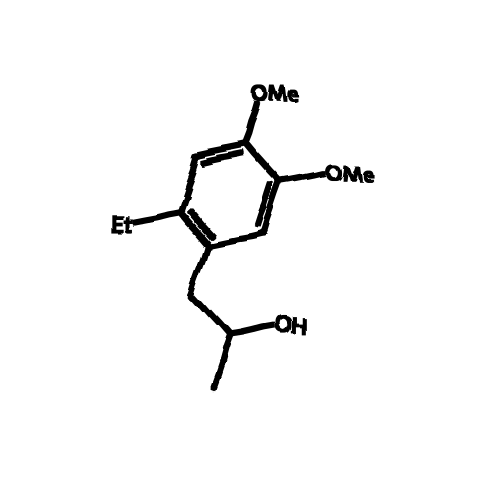 CCc1cc(OC)c(OC)cc1CC(C)O